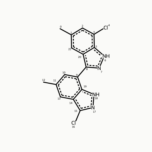 Cc1cc(Cl)c2[nH]nc(-c3cc(C)cc4c(Cl)n[nH]c34)c2c1